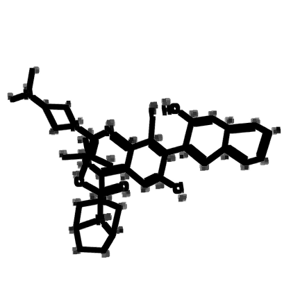 CN(C)C1CN(c2nc(N3CC4CCC(C3)N4C(=O)OC(C)(C)C)c3cc(Cl)c(-c4cc5ccccc5cc4O)c(F)c3n2)C1